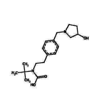 CC(C)(C)N(CCc1ccc(CN2CCC(O)C2)cc1)C(=O)O